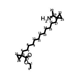 CCOC(=O)C1(CCCCCCCCCCCCC2(C(C)N)CC2)CC1